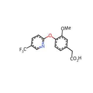 COc1cc(CC(=O)O)ccc1Oc1ccc(C(F)(F)F)cn1